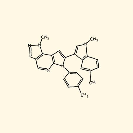 Cc1ccc(-n2c(-c3cn(C)c4ccc(O)cc34)cc3c4c(cnc32)cnn4C)cc1